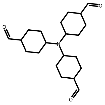 O=CC1CCC(N(C2CCC(C=O)CC2)C2CCC(C=O)CC2)CC1